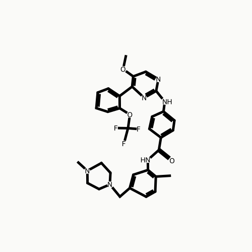 COc1cnc(Nc2ccc(C(=O)Nc3cc(CN4CCN(C)CC4)ccc3C)cc2)nc1-c1ccccc1OC(F)(F)F